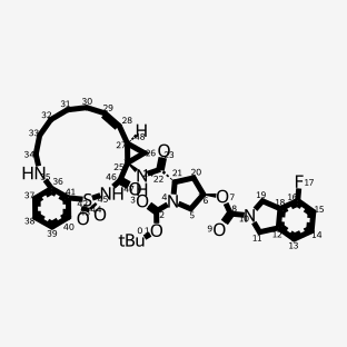 CC(C)(C)OC(=O)N1C[C@H](OC(=O)N2Cc3cccc(F)c3C2)C[C@H]1C(=O)N[C@]12C[C@@H]1/C=C\CCCCCNc1ccccc1S(=O)(=O)NC2=O